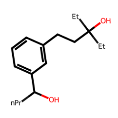 CCCC(O)c1cccc(CCC(O)(CC)CC)c1